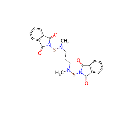 CN(CCCN(C)SN1C(=O)c2ccccc2C1=O)SN1C(=O)c2ccccc2C1=O